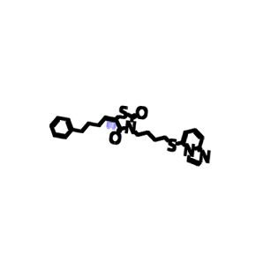 O=C1S/C(=C/CCCc2ccccc2)C(=O)N1CCCCSc1cccc2nccn12